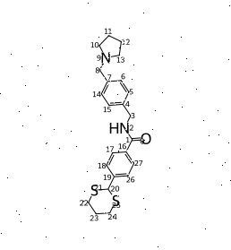 O=C(NCc1ccc(CN2CCCC2)cc1)c1ccc(C2SCCCS2)cc1